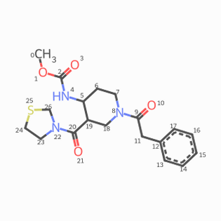 COC(=O)NC1CCN(C(=O)Cc2ccccc2)CC1C(=O)N1CCSC1